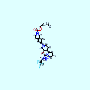 CCOC(=O)N1CCC2(CC(N3CCC(C4CCCN4C(=O)NCC(F)(F)F)CC3)C2)C1